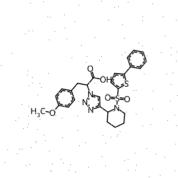 COc1ccc(CC(C(=O)O)n2cc(C3CCCCN3S(=O)(=O)c3ccc(-c4ccccc4)s3)nn2)cc1